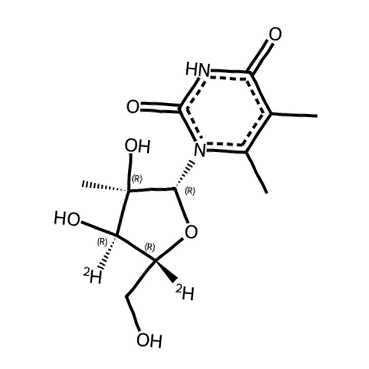 [2H][C@@]1(O)[C@@]([2H])(CO)O[C@@H](n2c(C)c(C)c(=O)[nH]c2=O)[C@]1(C)O